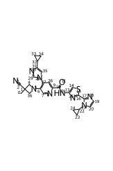 CC1(C#N)CN(c2cnc(C(=O)Nc3csc(-c4nccn4C4CC4)n3)cc2-n2cnc(C3CC3)c2)C1